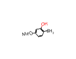 Bc1ccc(OC)cc1O